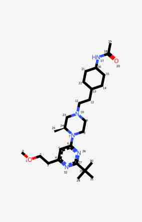 COCCc1cc(N2CCN(CCC3CCC(NC(C)=O)CC3)C[C@@H]2C)nc(C(C)(C)C)n1